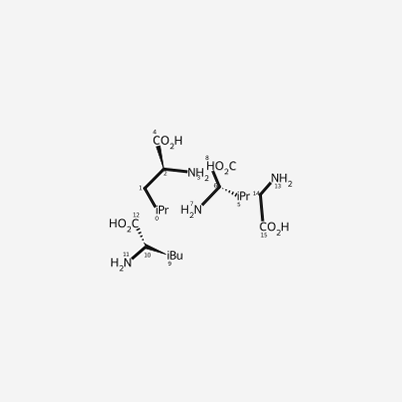 CC(C)C[C@H](N)C(=O)O.CC(C)[C@H](N)C(=O)O.CC[C@H](C)[C@H](N)C(=O)O.NCC(=O)O